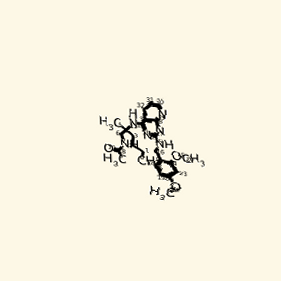 CCCCC(C)(CNC(C)=O)Nc1nc(NCc2ccc(OC)cc2OC)nc2ncccc12